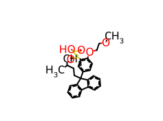 COCCOc1ccc(C2(CCC(C)C)c3ccccc3-c3ccccc32)cc1S(=O)(=O)O